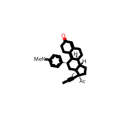 CC#C[C@]1(C(C)=O)CC[C@H]2[C@@H]3CCC4=CC(=O)CCC4=C3[C@@H](c3ccc(NC)cc3)C[C@@]21C